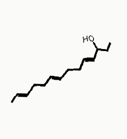 CC=CCCC=CCCC=CC(O)CC